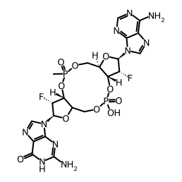 CP1(=O)OC[C@H]2O[C@@H](n3cnc4c(N)ncnc43)[C@H](F)[C@@H]2OP(=O)(O)OCC2O[C@@H](n3cnc4c(=O)[nH]c(N)nc43)[C@H](F)[C@@H]2O1